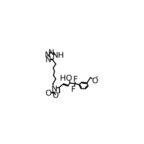 COCc1cccc(C(F)(F)C(O)C=CC2COC(=O)N2CCCCCCc2nnn[nH]2)c1